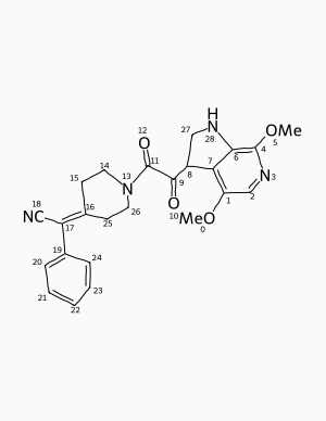 COc1cnc(OC)c2c1C(C(=O)C(=O)N1CCC(=C(C#N)c3ccccc3)CC1)CN2